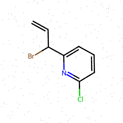 C=CC(Br)c1cccc(Cl)n1